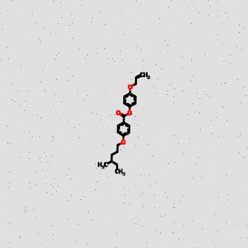 C=CCOc1ccc(OC(=O)c2ccc(OCCCC(C)CC)cc2)cc1